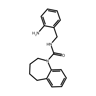 Nc1ccccc1CNC(=O)N1CCCCc2ccccc21